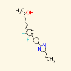 C=CCc1cnc(-c2ccc(-c3ccc(C=CCCCC(C)O)c(F)c3F)cc2)nc1